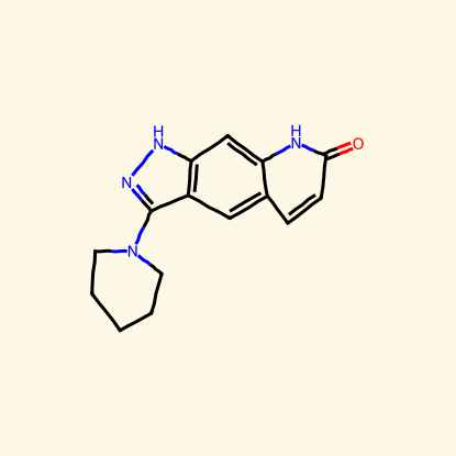 O=c1ccc2cc3c(N4CCCCC4)n[nH]c3cc2[nH]1